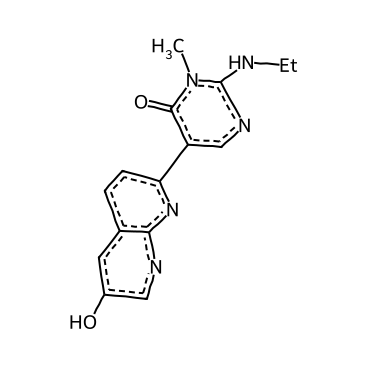 CCNc1ncc(-c2ccc3cc(O)cnc3n2)c(=O)n1C